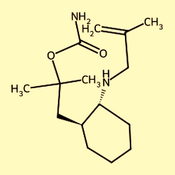 C=C(C)CN[C@@H]1CCCC[C@H]1CC(C)(C)OC(N)=O